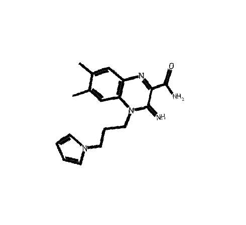 Cc1cc2nc(C(N)=O)c(=N)n(CCCn3cccc3)c2cc1C